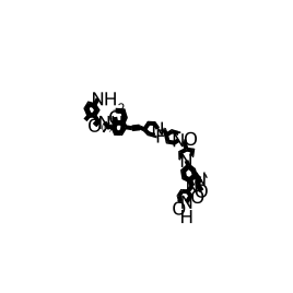 Cc1ccc(N)cc1C(=O)N[C@H](C)c1ccc(C#CC2CCN(CC3(F)CCN(C(=O)C4CCN(c5ccc6c(c5)n(C)c(=O)n6C5CCC(=O)NC5=O)CC4)CC3)CC2)c2ccccc12